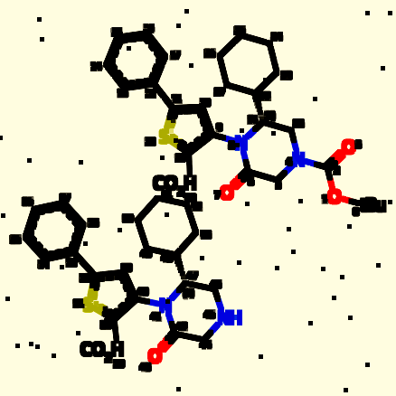 CC(C)(C)OC(=O)N1CC(=O)N(c2cc(-c3ccccc3)sc2C(=O)O)[C@H](C2CCCCC2)C1.O=C(O)c1sc(-c2ccccc2)cc1N1C(=O)CNC[C@H]1C1CCCCC1